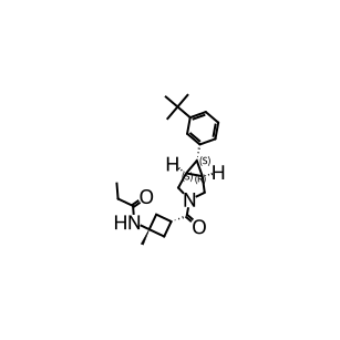 CCC(=O)N[C@]1(C)C[C@H](C(=O)N2C[C@@H]3[C@H](C2)[C@H]3c2cccc(C(C)(C)C)c2)C1